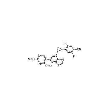 COc1ncc(-c2cc(C3C[C@@H]3c3cc(F)c(C#N)cc3F)c3nccn3n2)c(OC)n1